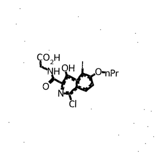 CCCOc1ccc2c(Cl)nc(C(=O)NCC(=O)O)c(O)c2c1I